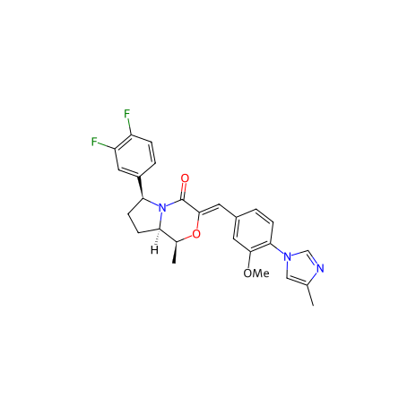 COc1cc(/C=C2\O[C@@H](C)[C@H]3CC[C@@H](c4ccc(F)c(F)c4)N3C2=O)ccc1-n1cnc(C)c1